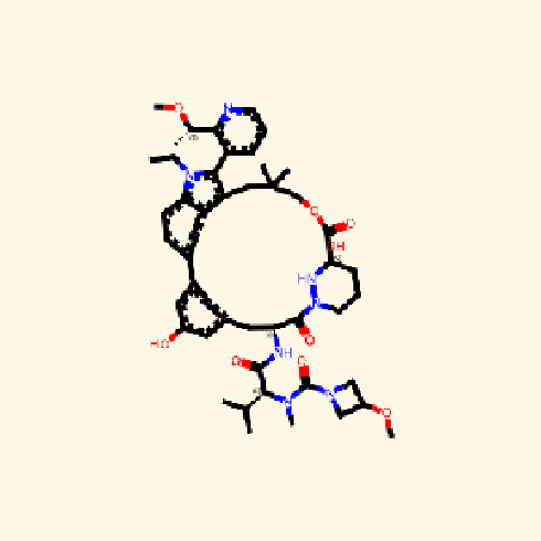 CCn1c(-c2cccnc2[C@H](C)OC)c2c3cc(ccc31)-c1cc(O)cc(c1)C[C@H](NC(=O)[C@H](C(C)C)N(C)C(=O)N1CC(OC)C1)C(=O)N1CCC[C@@](O)(N1)C(=O)OCC(C)(C)C2